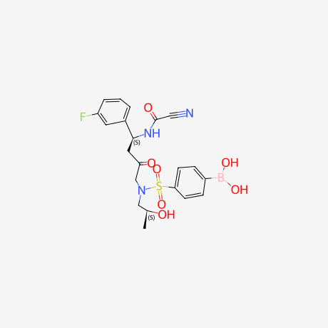 C[C@H](O)CN(CC(=O)C[C@H](NC(=O)C#N)c1cccc(F)c1)S(=O)(=O)c1ccc(B(O)O)cc1